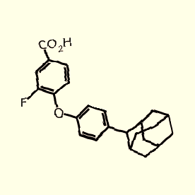 O=C(O)c1ccc(Oc2ccc(C3C4CC5CC(C4)CC3C5)cc2)c(F)c1